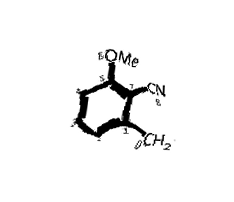 [CH2]c1cccc(OC)c1C#N